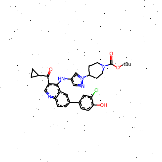 CC(C)(C)OC(=O)N1CCC(n2cc(Nc3c(C(=O)C4CC4)cnc4ccc(-c5ccc(O)c(Cl)c5)cc34)cn2)CC1